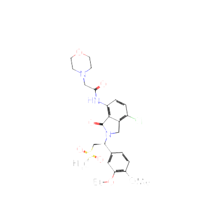 CCOc1cc([C@@H](CS(C)(=O)=O)N2Cc3c(Cl)ccc(NC(=O)CN4CCOCC4)c3C2=O)ccc1OC